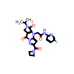 CC(C)N1Cc2c(n(CC(=O)Nc3ccc(F)cn3)c3cc(C(=O)N4CCC4)nn3c2=O)C1=O